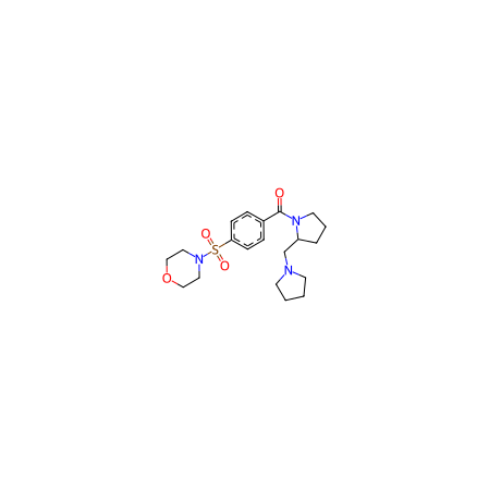 O=C(c1ccc(S(=O)(=O)N2CCOCC2)cc1)N1CCCC1CN1CCCC1